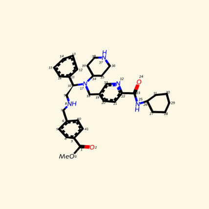 COC(=O)c1ccc(CNC[C@@H](c2ccccc2)N(Cc2ccc(C(=O)NC3CCCCC3)nc2)C2CCNCC2)cc1